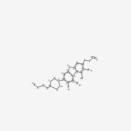 CCCc1cc2c(c(F)c1F)-c1c(cc(C3CCC(CCCF)CC3)c(F)c1F)C2